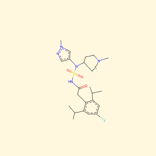 CC(C)c1cc(F)cc(C(C)C)c1CC(=O)NS(=O)(=O)N(c1cnn(C)c1)C1CCN(C)CC1